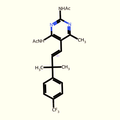 CC(=O)Nc1nc(C)c(/C=C/C(C)(C)c2ccc(C(F)(F)F)cc2)c(NC(C)=O)n1